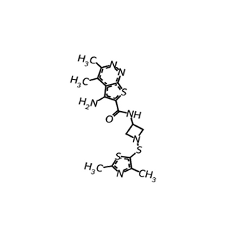 Cc1nc(C)c(SN2CC(NC(=O)c3sc4nnc(C)c(C)c4c3N)C2)s1